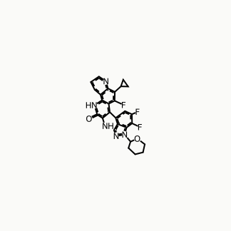 Nc1c(-c2cc(F)c(F)c3c2cnn3C2CCCCO2)c2c(F)c(C3CC3)c3ncccc3c2[nH]c1=O